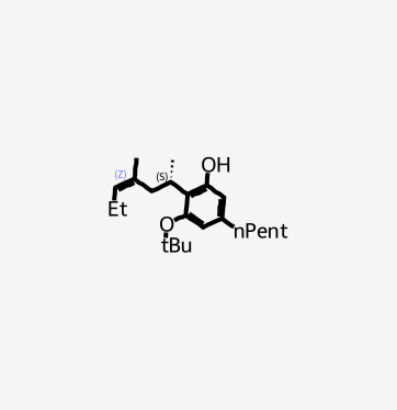 CC/C=C(/C)C[C@H](C)c1c(O)cc(CCCCC)cc1OC(C)(C)C